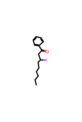 CCCCCCC(I)CC(=O)c1ccccc1